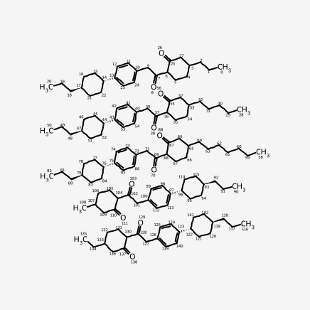 CCCC1CCC(C(=O)Cc2ccc([C@H]3CC[C@H](CCC)CC3)cc2)C(=O)C1.CCCCCC1CCC(C(=O)Cc2ccc([C@H]3CC[C@H](CCC)CC3)cc2)C(=O)C1.CCCCCCCC1CCC(C(=O)Cc2ccc([C@H]3CC[C@H](CCC)CC3)cc2)C(=O)C1.CCC[C@H]1CC[C@H](c2ccc(CC(=O)C3CCC(C)CC3=O)cc2)CC1.CCC[C@H]1CC[C@H](c2ccc(CC(=O)C3CCC(CC)CC3=O)cc2)CC1